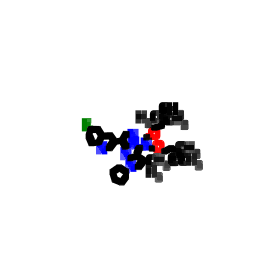 Cc1cn(C2CCCCC2)c2nc3c(-c4cnc5ccc(F)cc5c4)cnn3c(N(COCC[Si](C)(C)C)COCC[Si](C)(C)C)c12